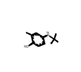 Cc1cc(NC(C)(C)C)ccc1O